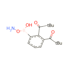 CC(C)(C)C(=O)c1cccc(B(O)ON)c1C(=O)C(C)(C)C